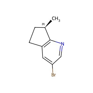 C[C@@H]1CCc2cc(Br)cnc21